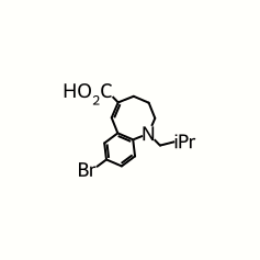 CC(C)CN1CCC/C(C(=O)O)=C\c2cc(Br)ccc21